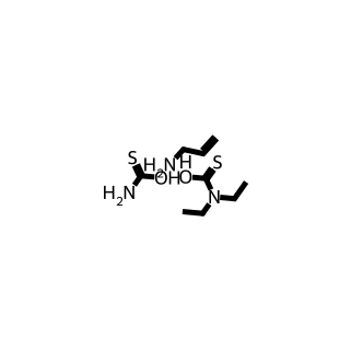 C=CCN.CCN(CC)C(O)=S.NC(O)=S